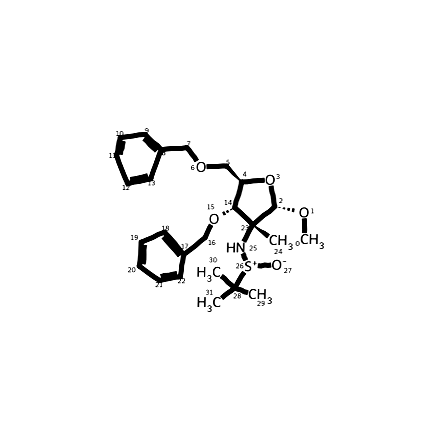 CO[C@H]1O[C@H](COCc2ccccc2)[C@@H](OCc2ccccc2)[C@@]1(C)N[S+]([O-])C(C)(C)C